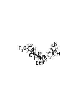 CCO[C@H]1CN(C2CCC(O)(c3ccc(F)cc3)CC2)C[C@@H]1NC(=O)CNC(=O)c1cccc(C(F)(F)F)c1